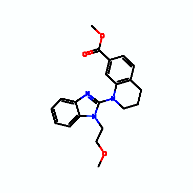 COCCn1c(N2CCCc3ccc(C(=O)OC)cc32)nc2ccccc21